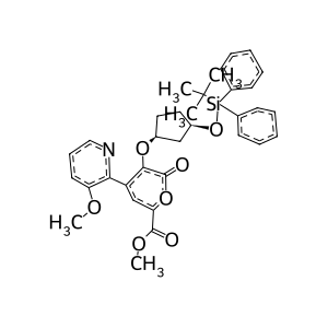 COC(=O)c1cc(-c2ncccc2OC)c(O[C@H]2CC[C@@H](O[Si](c3ccccc3)(c3ccccc3)C(C)(C)C)C2)c(=O)o1